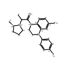 CC(C(=O)N1CCN(c2ccc(F)cc2)c2cc(F)ccc21)N1CCC[C@H]1C